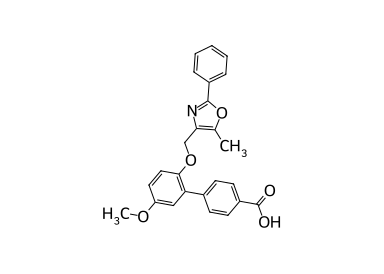 COc1ccc(OCc2nc(-c3ccccc3)oc2C)c(-c2ccc(C(=O)O)cc2)c1